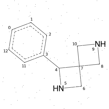 c1ccc(C2NCC23CNC3)cc1